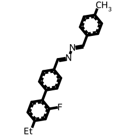 CCc1ccc(-c2ccc(C=NN=Cc3ccc(C)cc3)cc2)c(F)c1